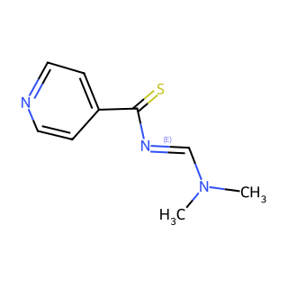 CN(C)/C=N/C(=S)c1ccncc1